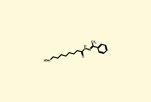 CCCCCCCCCCCCCCCCCC(=O)NN=C(C)c1ccccc1